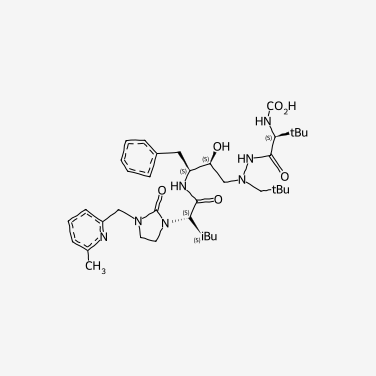 CC[C@H](C)[C@@H](C(=O)N[C@@H](Cc1ccccc1)[C@@H](O)CN(CC(C)(C)C)NC(=O)[C@@H](NC(=O)O)C(C)(C)C)N1CCN(Cc2cccc(C)n2)C1=O